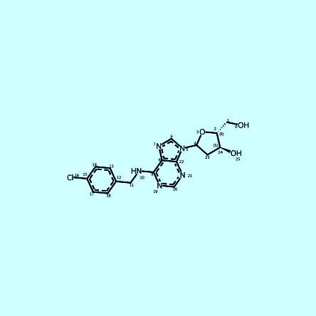 OC[C@H]1OC(n2cnc3c(NCc4ccc(Cl)cc4)ncnc32)C[C@@H]1O